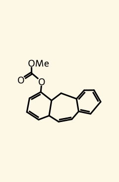 COC(=O)OC1=CC=CC2C=Cc3ccccc3CC12